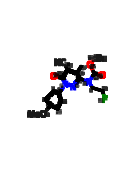 COc1ccc(-n2nc(N(CCF)C(=O)OC(C)(C)C)c(C)c(C#N)c2=O)cc1